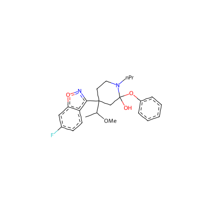 CCCN1CCC(c2noc3cc(F)ccc23)(C(C)OC)CC1(O)Oc1ccccc1